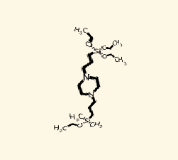 CCO[Si](C)(C)CCCN1CCN(CCC[Si](OCC)(OCC)OCC)CC1